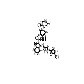 O=C(Nc1ccc(N2CCNCC2=O)cc1)c1nc2ccccc2n1Cc1cc(-c2ccc(Cl)s2)on1